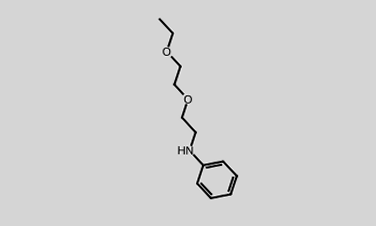 CCOCCOCCNc1ccccc1